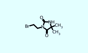 CC1(C)NC(=O)N(CCBr)C1=O